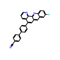 N#Cc1ccc(-c2ccc(-c3cc4cc5cc(F)ccc5nc4c4ncccc34)cc2)cc1